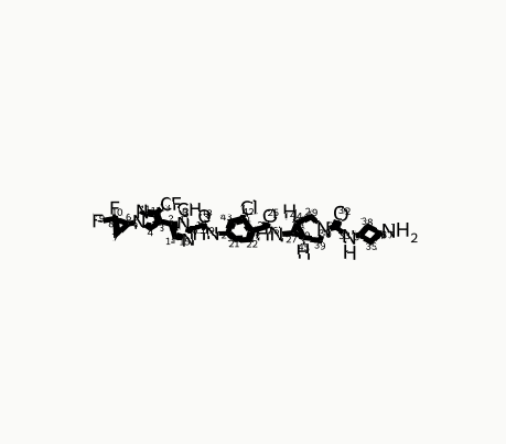 Cn1c(-c2cn(C3CC3(F)F)nc2C(F)(F)F)cnc1C(=O)Nc1ccc(C(=O)NC2[C@H]3CN(C(=O)NC4CC(N)C4)C[C@@H]23)c(Cl)c1